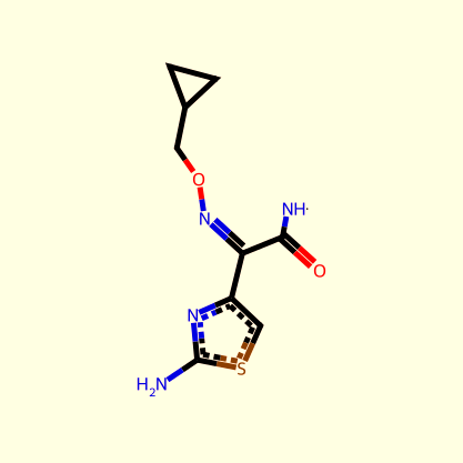 [NH]C(=O)/C(=N\OCC1CC1)c1csc(N)n1